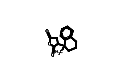 CC1(C2CC(=O)OC2=O)CCCc2ccccc21